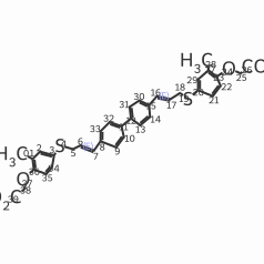 Cc1cc(SC/C=C/c2ccc(-c3ccc(/C=C/CSc4ccc(OCC(=O)O)c(C)c4)cc3)cc2)ccc1OCC(=O)O